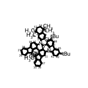 Cc1cc2c(cc1N1B3c4c(cc5c(c4-c4c1ccc1c4C(C)(C)c4ccccc4-1)C(C)(C)c1ccccc1-5)-n1c4ccc(C(C)(C)C)cc4c4cc(C(C)(C)C)cc3c41)C(C)(C)CCC2(C)C